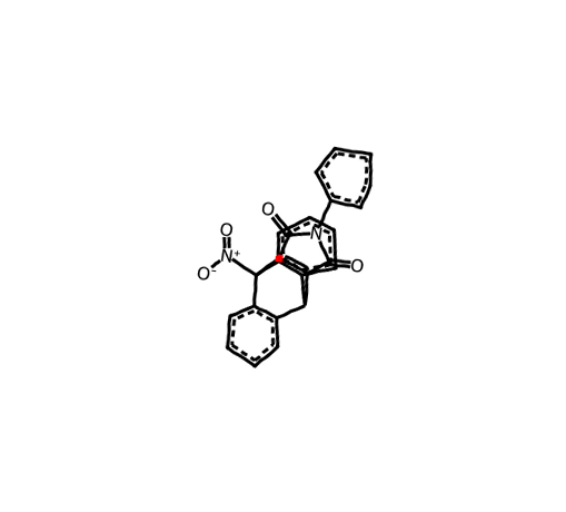 O=C1C2=C(C(=O)N1c1ccccc1)C1([N+](=O)[O-])c3ccccc3C2c2ccccc21